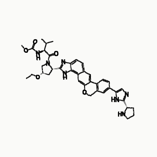 CCO[C@H]1C[C@@H](c2nc3ccc4cc5c(cc4c3[nH]2)OCc2cc(-c3cnc([C@@H]4CCCN4)[nH]3)ccc2-5)N(C(=O)[C@@H](NC(=O)OC)C(C)C)C1